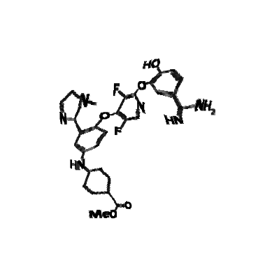 COC(=O)C1CCC(Nc2ccc(Oc3c(F)cnc(Oc4cc(C(=N)N)ccc4O)c3F)c(C3N=CCN3C)c2)CC1